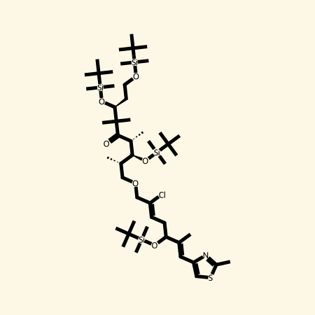 C/C(=C\c1csc(C)n1)C(C/C=C(\Cl)COC[C@H](C)[C@H](O[Si](C)(C)C(C)(C)C)[C@@H](C)C(=O)C(C)(C)[C@H](CCO[Si](C)(C)C(C)(C)C)O[Si](C)(C)C(C)(C)C)O[Si](C)(C)C(C)(C)C